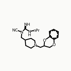 CCCNC(=N)N(C#N)CC1CCN(CC2COc3ccccc3O2)CC1